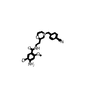 COc1cc(N)c(Cl)cc1C(=O)NCCC1CN(Cc2ccc(C#N)cc2)CCO1